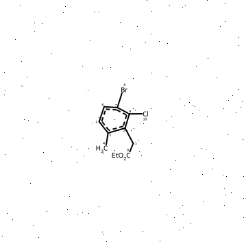 CCOC(=O)Cc1c(C)ccc(Br)c1Cl